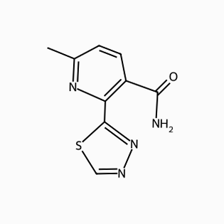 Cc1ccc(C(N)=O)c(-c2nncs2)n1